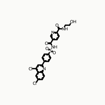 O=C(NS(=O)(=O)c1ccc(-c2cc(Cl)c3cc(Cl)ccc3n2)cc1)c1ccc(C(=O)NCCO)nc1